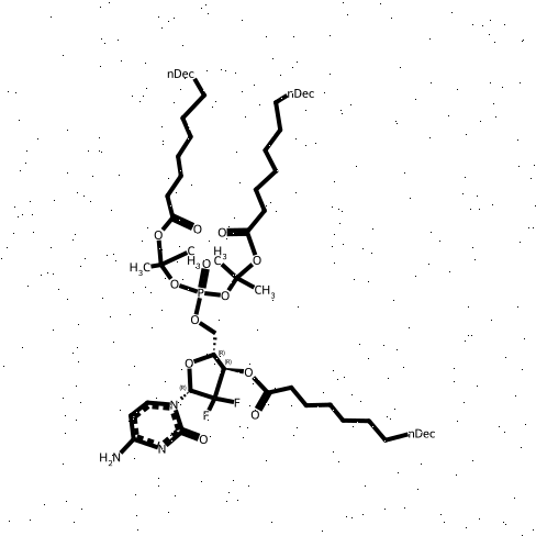 CCCCCCCCCCCCCCCCC(=O)O[C@@H]1[C@@H](COP(=O)(OC(C)(C)OC(=O)CCCCCCCCCCCCCCCC)OC(C)(C)OC(=O)CCCCCCCCCCCCCCCC)O[C@@H](n2ccc(N)nc2=O)C1(F)F